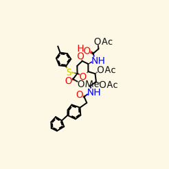 COC(=O)[C@]1(Sc2ccc(C)cc2)C[C@H](O)[C@@H](NC(=O)COC(C)=O)[C@H]([C@H](OC(C)=O)[C@@H](CNC(=O)Cc2ccc(-c3ccccc3)cc2)OC(C)=O)O1